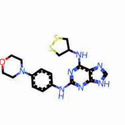 c1nc2c(NC3CSSC3)nc(Nc3ccc(N4CCOCC4)cc3)nc2[nH]1